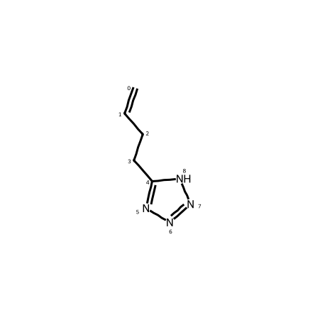 C=CCCc1nnn[nH]1